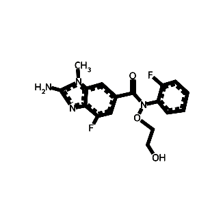 Cn1c(N)nc2c(F)cc(C(=O)N(OCCO)c3ccccc3F)cc21